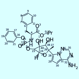 CC(C)OC(=O)[C@H](Cc1ccccc1)NP(=O)(Oc1ccccc1)OC1[C@H]2O[C@@](C)(c3ccc4c(N)ncnn34)[C@H](O)[C@@]12O